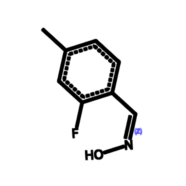 Cc1ccc(/C=N\O)c(F)c1